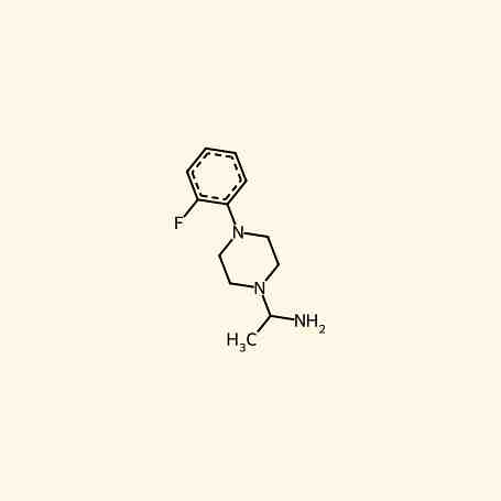 CC(N)N1CCN(c2ccccc2F)CC1